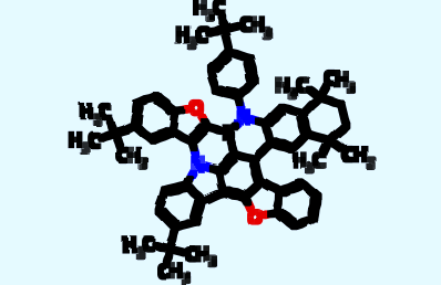 CC(C)(C)c1ccc(N2B3c4oc5ccc(C(C)(C)C)cc5c4-n4c5ccc(C(C)(C)C)cc5c5c6oc7ccccc7c6c(c3c54)-c3cc4c(cc32)C(C)(C)CCC4(C)C)cc1